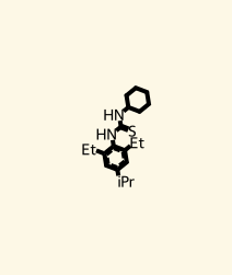 CCc1cc(C(C)C)cc(CC)c1NC(=S)NC1CCCCC1